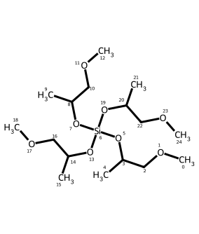 COCC(C)O[Si](OC(C)COC)(OC(C)COC)OC(C)COC